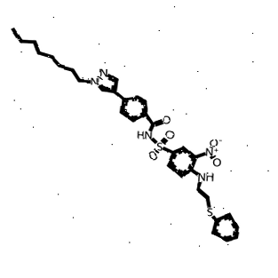 CCCCCCCCn1cc(-c2ccc(C(=O)NS(=O)(=O)c3ccc(NCCSc4ccccc4)c([N+](=O)[O-])c3)cc2)cn1